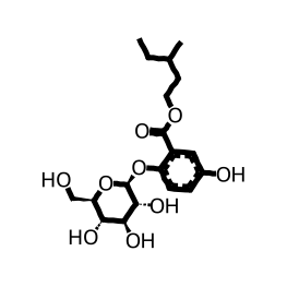 CCC(C)CCOC(=O)c1cc(O)ccc1O[C@@H]1O[C@H](CO)[C@@H](O)[C@H](O)[C@H]1O